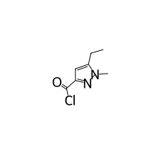 CCc1cc(C(=O)Cl)nn1C